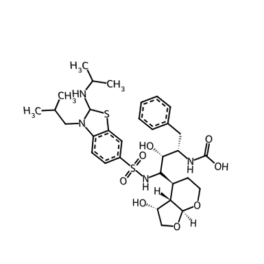 CC(C)CN1c2ccc(S(=O)(=O)NC([C@H]3CCO[C@H]4OC[C@H](O)[C@@H]43)[C@H](O)[C@H](Cc3ccccc3)NC(=O)O)cc2SC1NC(C)C